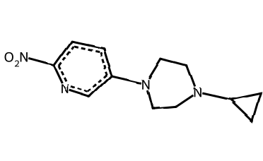 O=[N+]([O-])c1ccc(N2CCN(C3CC3)CC2)cn1